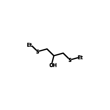 CCSCC(O)CSCC